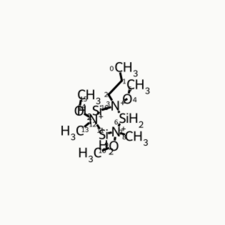 CCC[N+]1(OC)[SiH2][N+](C)(OC)[SiH2][N+](C)(OC)[SiH2]1